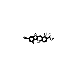 COC(=O)c1ccc(Cl)c(Cc2cc3c(C)cc(C#N)cc3n2C)c1Cl